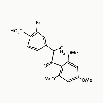 COc1cc(OC)c(C(=O)C(C)c2ccc(C(=O)O)c(Br)c2)c(OC)c1